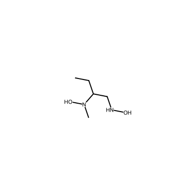 CCC(CNO)N(C)O